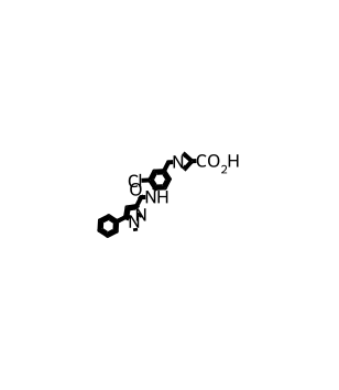 Cn1nc(C(=O)Nc2ccc(CN3CC(C(=O)O)C3)cc2Cl)cc1-c1ccccc1